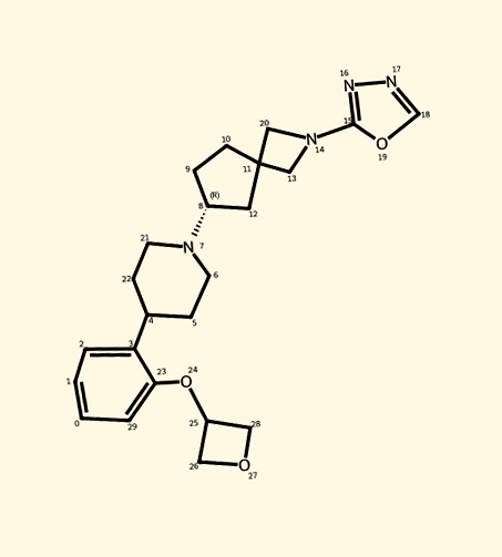 c1ccc(C2CCN([C@@H]3CCC4(C3)CN(c3nnco3)C4)CC2)c(OC2COC2)c1